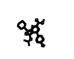 COC(=O)c1cc(-c2ccc(Br)cc2)c2c(OC(C)C)nn(C3CCCCC3)c2n1